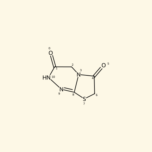 O=C1CN2C(=O)CSC2=NN1